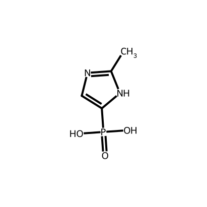 Cc1ncc(P(=O)(O)O)[nH]1